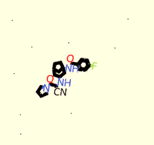 N#CC(NC1CC2CC[C@](NC(=O)c3ccc(F)cc3)(C2)C1)C(=O)N1CCCC1